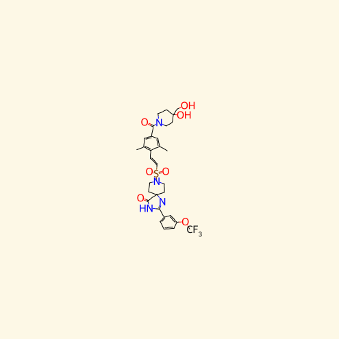 Cc1cc(C(=O)N2CCC(O)(CO)CC2)cc(C)c1C=CS(=O)(=O)N1CCC2(CC1)N=C(c1cccc(OC(F)(F)F)c1)NC2=O